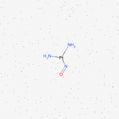 [NH2][Pt]([NH2])[N]=O